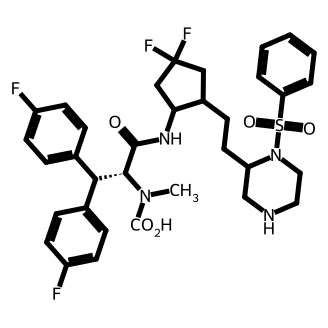 CN(C(=O)O)[C@@H](C(=O)NC1CC(F)(F)CC1CCC1CNCCN1S(=O)(=O)c1ccccc1)C(c1ccc(F)cc1)c1ccc(F)cc1